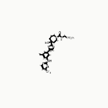 CCOC(=O)CNC(=O)N1CCCC(O)(c2ncc(-c3cc(C)cc(Nc4nccc(C(F)(F)F)n4)c3)s2)CC1